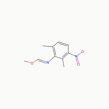 COC=Nc1c(C)ccc([N+](=O)[O-])c1C